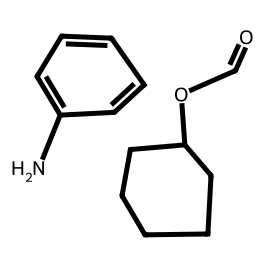 Nc1ccccc1.O=COC1CCCCC1